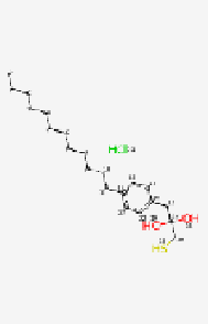 CCCCCCCCCCCCc1ccc(CC(O)(O)CS)cc1.Cl